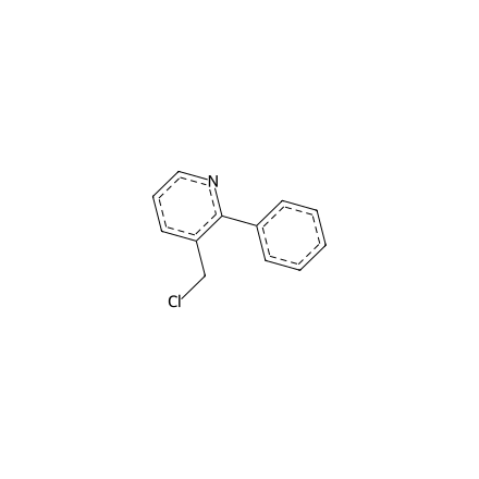 ClCc1cccnc1-c1ccccc1